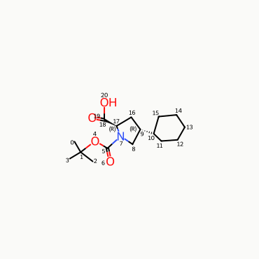 CC(C)(C)OC(=O)N1C[C@@H](C2CCCCC2)C[C@@H]1C(=O)O